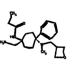 CCC(=O)N[C@]1(CN)CC[C@](c2ccccc2)(N(C)CC2COC2)CC1